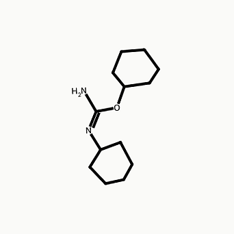 NC(=NC1CCCCC1)OC1CCCCC1